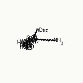 CCCCCCCCCCCCCCCC(=O)O[C@H](COC(=O)CCCCCCCCCCCCCCN)COP(=O)(O)OC1C(O)[C@@H](OP(=O)(O)O)C(OP(=O)(O)O)[C@@H](OP(=O)(O)O)[C@H]1O